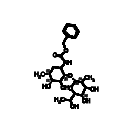 CC(O)C1O[C@H](O[C@@H]2C(NC(=O)OCc3ccccc3)C[C@@H](C)[C@@H](O)C2O)[C@@H](C)C(O)[C@@H]1O